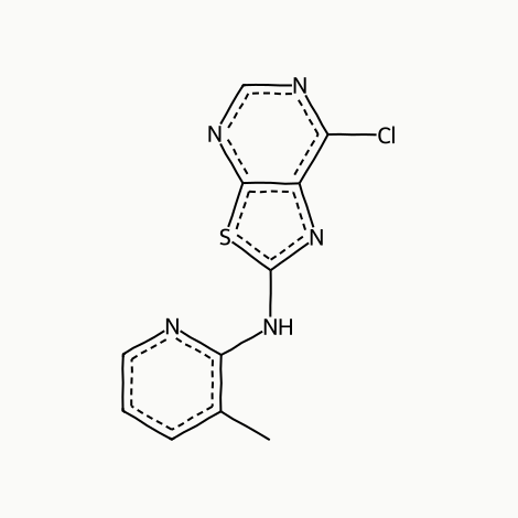 Cc1cccnc1Nc1nc2c(Cl)ncnc2s1